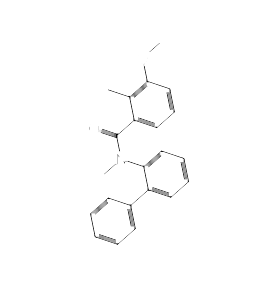 COc1cccc(C(=O)N(C)c2ccccc2-c2ccccc2)c1C